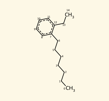 CCCCCCCc1ccccc1CC